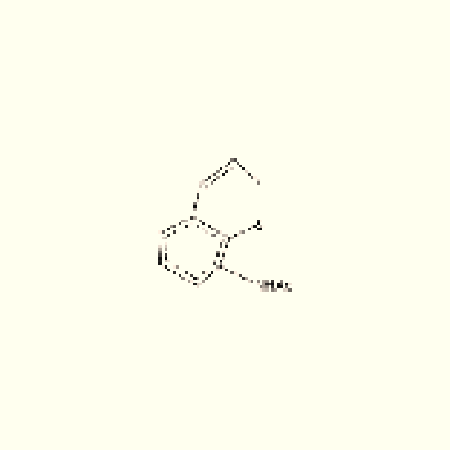 CC(=O)Nc1cccc2c1SCC=C2